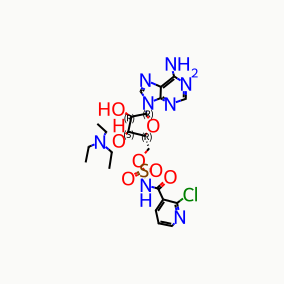 CCN(CC)CC.Nc1ncnc2c1ncn2[C@@H]1O[C@H](COS(=O)(=O)NC(=O)c2cccnc2Cl)[C@@H](O)[C@H]1O